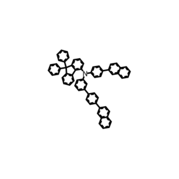 c1ccc(C2(c3ccccc3)c3ccccc3-c3c(N(c4ccc(-c5ccc6ccccc6c5)cc4)c4cccc(-c5ccc(-c6ccc7ccccc7c6)cc5)c4)cccc32)cc1